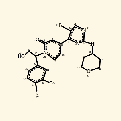 O=c1cc(-c2nc(NC3CCOCC3)ncc2F)ccn1C(CO)c1ccc(Cl)c(F)c1